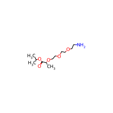 CC(C)OC(=O)[C@H](C)OCCOCCOCCN